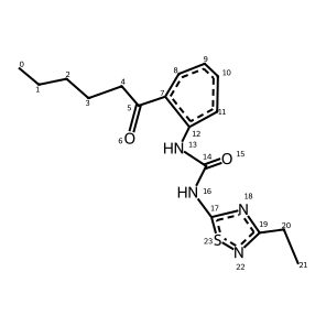 CCCCCC(=O)c1ccccc1NC(=O)Nc1nc(CC)ns1